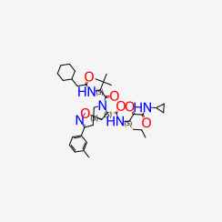 CCC[C@H](NC(=O)[C@@H]1C[C@]2(CC(c3cccc(C)c3)=NO2)CN1C(=O)[C@@H](NC(=O)CC1CCCCC1)C(C)(C)C)C(=O)C(=O)NC1CC1